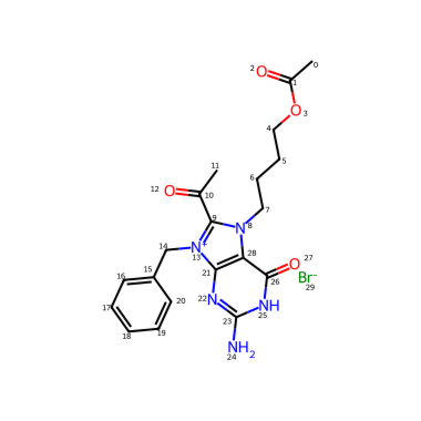 CC(=O)OCCCCn1c(C(C)=O)[n+](Cc2ccccc2)c2nc(N)[nH]c(=O)c21.[Br-]